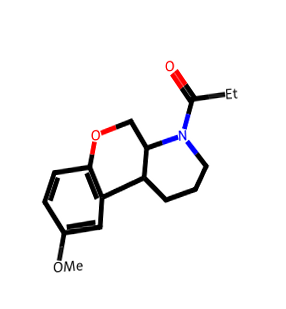 CCC(=O)N1CCCC2c3cc(OC)ccc3OCC21